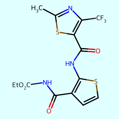 CCOC(=O)NC(=O)c1ccsc1NC(=O)c1sc(C)nc1C(F)(F)F